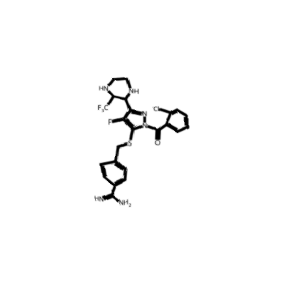 N=C(N)c1ccc(CSc2c(F)c(C3NCCNC3C(F)(F)F)nn2C(=O)c2ccccc2Cl)cc1